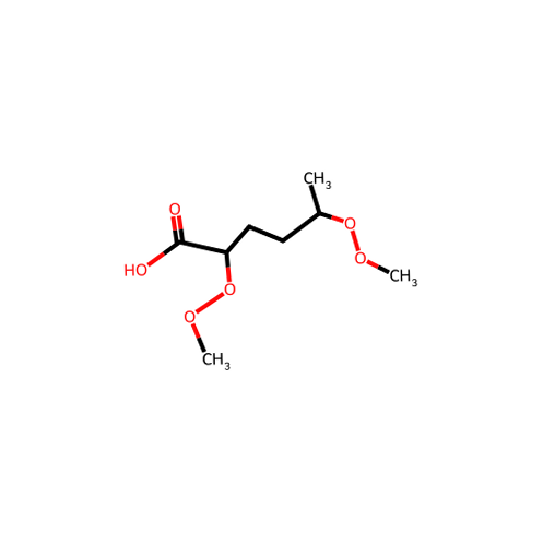 COOC(C)CCC(OOC)C(=O)O